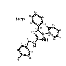 Cl.Fc1ccc(CNC2=N[C@@H](c3ccccc3)[C@@H](c3ccccc3)N2)cc1